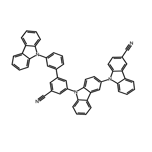 N#Cc1cc(-c2cccc(-n3c4ccccc4c4ccccc43)c2)cc(-n2c3ccccc3c3cc(-n4c5ccccc5c5cc(C#N)ccc54)ccc32)c1